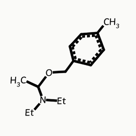 CCN(CC)C(C)OCc1ccc(C)cc1